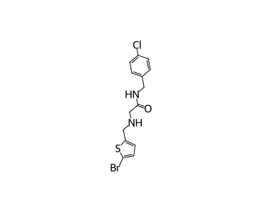 O=C(CNCc1ccc(Br)s1)NCc1ccc(Cl)cc1